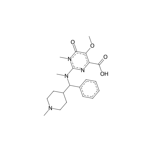 COc1c(C(=O)O)nc(N(C)C(c2ccccc2)C2CCN(C)CC2)n(C)c1=O